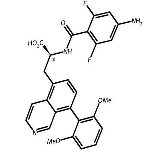 COc1cccc(OC)c1-c1ccc(C[C@H](NC(=O)c2c(F)cc(N)cc2F)C(=O)O)c2ccncc12